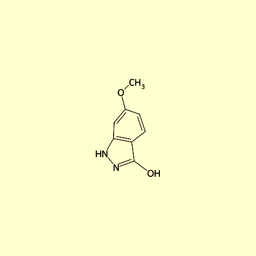 COc1ccc2c(O)n[nH]c2c1